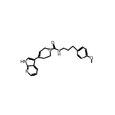 COc1ccc(CCCNC(=O)N2CC=C(c3c[nH]c4ncccc34)CC2)cc1